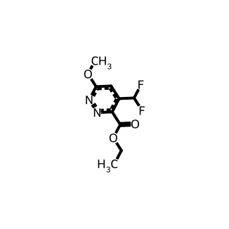 CCOC(=O)c1nnc(OC)cc1C(F)F